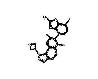 Nc1nc2c(-c3c(Cl)cc4c(ncc5nnn(C6CNC6)c54)c3F)ccc(F)c2s1